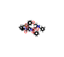 Cc1oc(-c2ccccc2)nc1CCOc1cccc(C[C@H]2CN(C(=O)Oc3ccccc3)C[C@@H]2C(=O)N2C3CC4CC[C@@]3(CS2(=O)=O)C4(C)C)c1